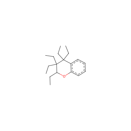 CC[C]1Oc2ccccc2C(CC)(CC)C1(CC)CC